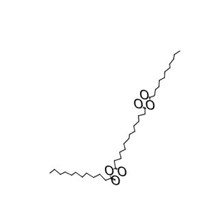 CCCCCCCCCCCC(=O)OC(=O)CCCCCCCCCCCCC(=O)OC(=O)CCCCCCCCCCC